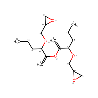 C=C(OC(=C)C(CCC)OCC1CO1)C(CCC)OCC1CO1